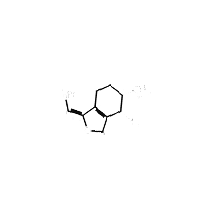 CCC/C=C1/OCC2=C1CC[C@H](C)[C@@H]2I